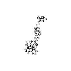 CC(=O)NCCCC1OCC2(CO1)COC(CCCNC(=O)CNC(c1ccccc1)(c1ccccc1)c1ccccc1)OC2